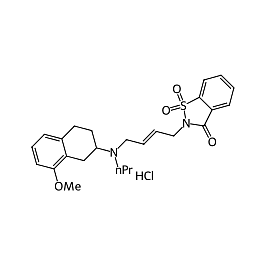 CCCN(C/C=C/CN1C(=O)c2ccccc2S1(=O)=O)C1CCc2cccc(OC)c2C1.Cl